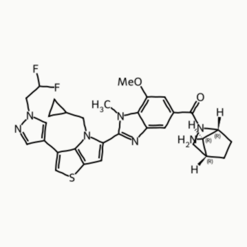 COc1cc(C(=O)N2C[C@H]3CC[C@@H]2[C@@H]3N)cc2nc(-c3cc4scc(-c5cnn(CC(F)F)c5)c4n3CC3CC3)n(C)c12